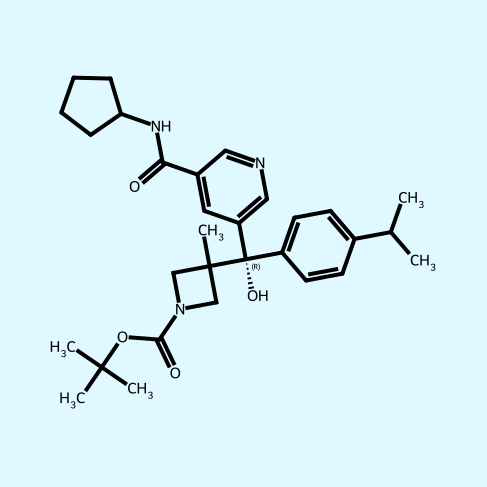 CC(C)c1ccc([C@](O)(c2cncc(C(=O)NC3CCCC3)c2)C2(C)CN(C(=O)OC(C)(C)C)C2)cc1